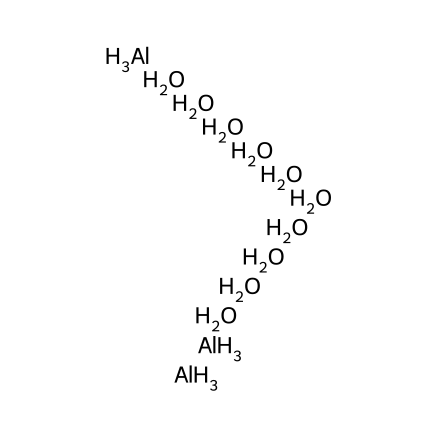 O.O.O.O.O.O.O.O.O.O.[AlH3].[AlH3].[AlH3]